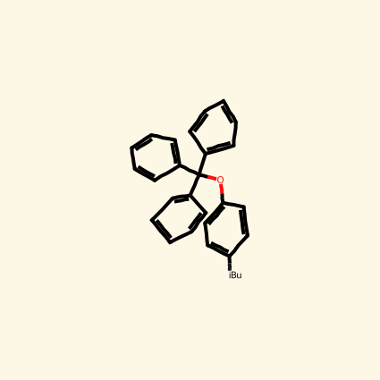 CCC(C)c1ccc(OC(c2ccccc2)(c2ccccc2)c2ccccc2)cc1